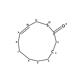 O=C1CCCCCCCC=CCS1